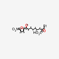 CCC1OC1(CCCCCCC(=O)c1ccc([N+](=O)[O-])o1)C(=O)O